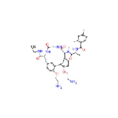 Cc1ccc(C(=O)N[C@@H](C)C(=O)N(C)[C@@H]2C(=O)N[C@@H](C)C(=O)N[C@H](C(=O)NCC#N)Cc3ccc(OCCN)c(c3)-c3cc2ccc3OCCN)c(C)c1